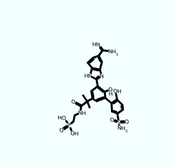 CC(C)(C(=O)NCCP(=O)(O)O)c1cc(-c2nc3cc(C(=N)N)ccc3[nH]2)c(O)c(-c2cc(S(N)(=O)=O)ccc2O)c1